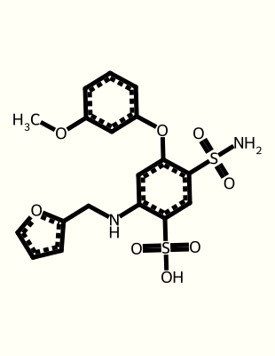 COc1cccc(Oc2cc(NCc3ccco3)c(S(=O)(=O)O)cc2S(N)(=O)=O)c1